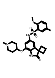 COc1ccc(F)cc1S(=O)(=O)Nc1cc(OC2CCN(C)CC2)c2c(c1)C1(CCC1)C(=O)N2